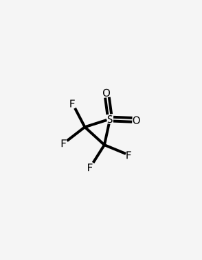 O=S1(=O)C(F)(F)C1(F)F